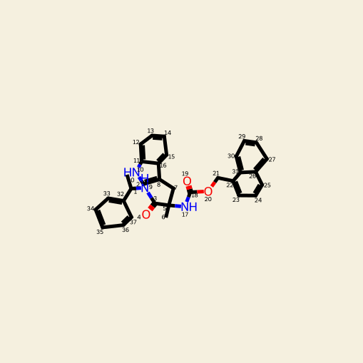 CC(NC(=O)C(C)(Cc1c[nH]c2ccccc12)NC(=O)OCc1cccc2ccccc12)c1ccccc1